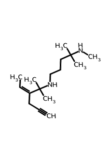 C#CC/C(=C/C)C(C)(C)NCCCC(C)(C)NC